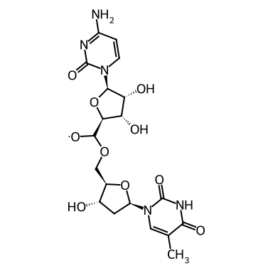 Cc1cn([C@H]2C[C@H](O)[C@@H](COC([O])[C@H]3O[C@@H](n4ccc(N)nc4=O)[C@H](O)[C@@H]3O)O2)c(=O)[nH]c1=O